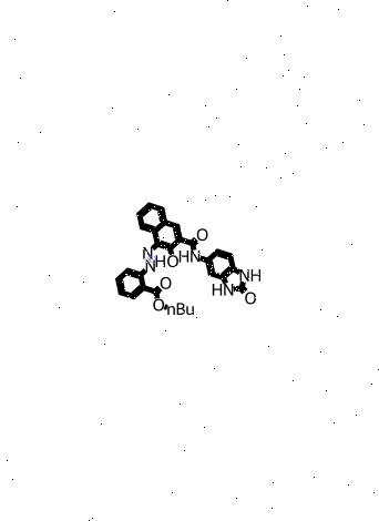 CCCCOC(=O)c1ccccc1/N=N/c1c(O)c(C(=O)Nc2ccc3[nH]c(=O)[nH]c3c2)cc2ccccc12